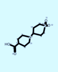 O=C(O)C1CCN(C2CCS(=O)(=O)CC2)CC1